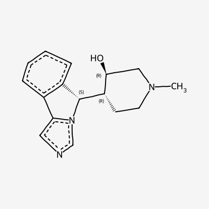 CN1CC[C@H]([C@H]2c3ccccc3-c3cncn32)[C@@H](O)C1